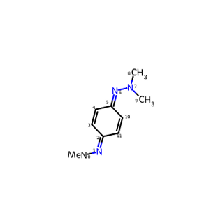 CNN=C1C=CC(=NN(C)C)C=C1